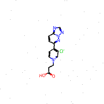 O=C(O)CC[n+]1ccc(-c2ccc3ncnn3n2)cc1.[Cl-]